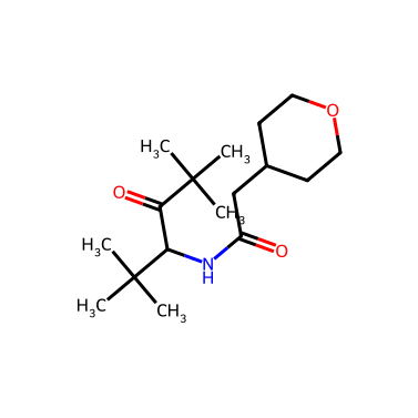 CC(C)(C)C(=O)C(NC(=O)CC1CCOCC1)C(C)(C)C